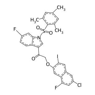 Cc1cc(C)c(S(=O)(=O)n2cc(C(=O)COc3cc4c(F)cc(Cl)cc4cc3I)c3ccc(F)cc32)c(C)c1